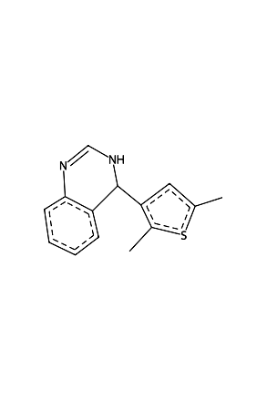 Cc1cc(C2NC=Nc3ccccc32)c(C)s1